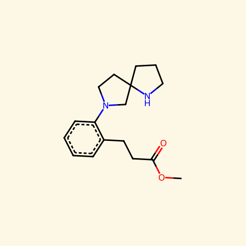 COC(=O)CCc1ccccc1N1CCC2(CCCN2)C1